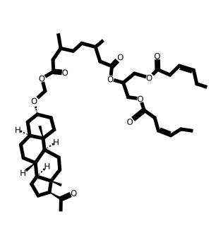 CC/C=C\CC(=O)OCC(COC(=O)C/C=C\CC)OC(=O)CC(C)CCC(C)CC(=O)OCO[C@@H]1CC[C@@]2(C)[C@@H](CC[C@@H]3[C@@H]2CC[C@]2(C)[C@@H](C(C)=O)CC[C@@H]32)C1